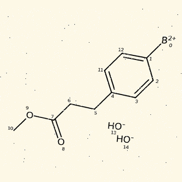 [B+2]c1ccc(CCC(=O)OC)cc1.[OH-].[OH-]